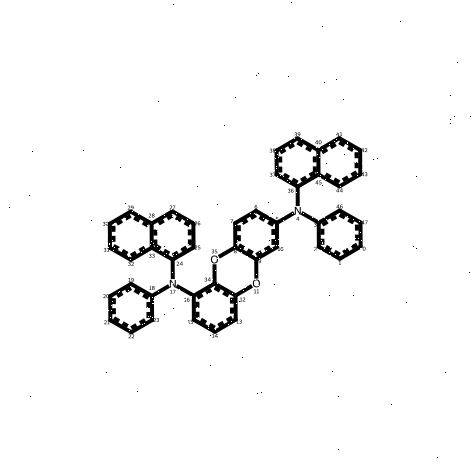 c1ccc(N(c2ccc3c(c2)Oc2cccc(N(c4ccccc4)c4cccc5ccccc45)c2O3)c2cccc3ccccc23)cc1